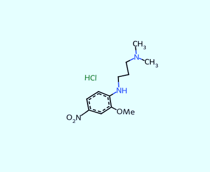 COc1cc([N+](=O)[O-])ccc1NCCCN(C)C.Cl